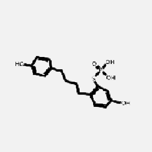 O=P(O)(O)Sc1cc(O)ccc1CCCCc1ccc(O)cc1